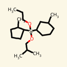 CCCO[Si](OCC(C)C)(C1CCCC(C)C1)C1CCCC1C